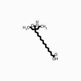 CCCC(CCC)(CCCCCCCCCCCCCC(=O)O)C(=O)O